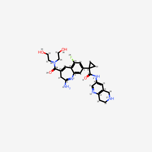 NC1=Nc2cc(C3(C(=O)Nc4cnc5c(c4)CNCC5)CC3)cc(F)c2C=C(C(=O)N(CCO)CCO)C1